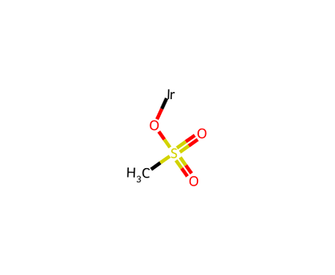 CS(=O)(=O)[O][Ir]